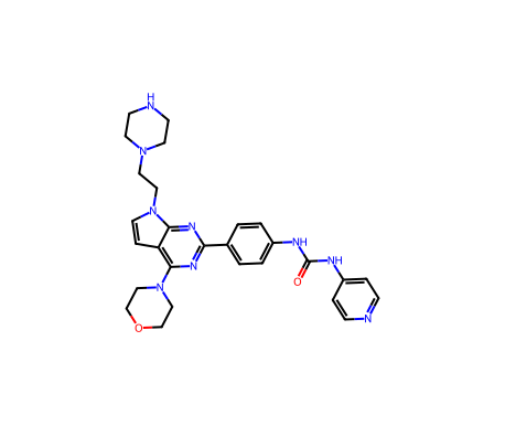 O=C(Nc1ccncc1)Nc1ccc(-c2nc(N3CCOCC3)c3ccn(CCN4CCNCC4)c3n2)cc1